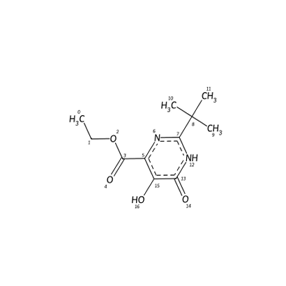 CCOC(=O)c1nc(C(C)(C)C)[nH]c(=O)c1O